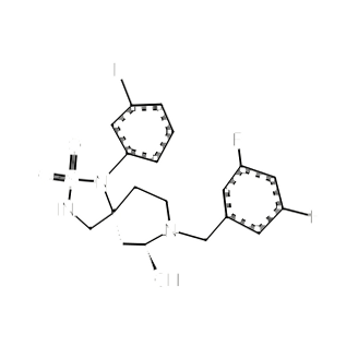 C[C@H]1C[C@]2(CCN1Cc1cc(F)cc(F)c1)CNS(=O)(=O)N2c1cccc(F)c1